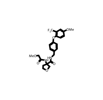 COCC(=O)NC1(C(=O)NCc2ccc(Oc3ccc(OC)cc3C(F)(F)F)cc2)CCOC1